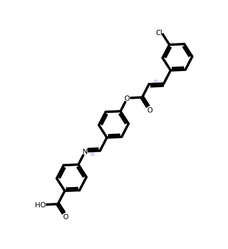 O=C(/C=C/c1cccc(Cl)c1)Oc1ccc(/C=N/c2ccc(C(=O)O)cc2)cc1